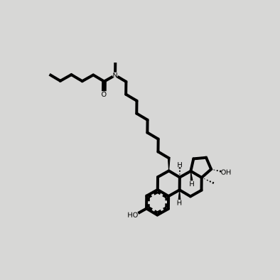 CCCCCC(=O)N(C)CCCCCCCCC[C@@H]1Cc2cc(O)ccc2[C@H]2CC[C@]3(C)[C@@H](O)CC[C@H]3[C@H]12